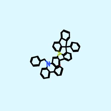 c1ccc(CN(c2ccc3c(c2)sc2c(C4(c5ccccc5)c5ccccc5-c5ccccc54)cccc23)c2ccccc2-c2ccccc2)cc1